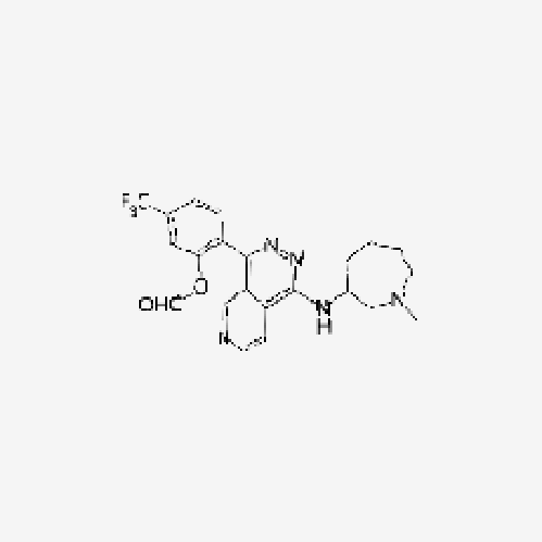 CN1CCCCC(Nc2nnc(-c3ccc(C(F)(F)F)cc3OC=O)c3cnccc23)C1